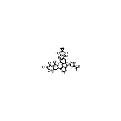 C[C@H]1CC(c2ncnc3c2c2cc(F)c(S(=O)(=O)NC4(C)CC4)cc2n3-c2nnc(C(F)F)s2)CCN1C(=O)N(C)C